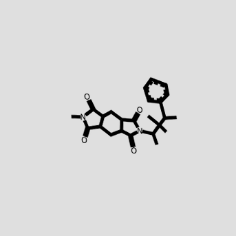 CC(c1ccccc1)C(C)(C)C(C)N1C(=O)C2CC3C(=O)N(C)C(=O)C3CC2C1=O